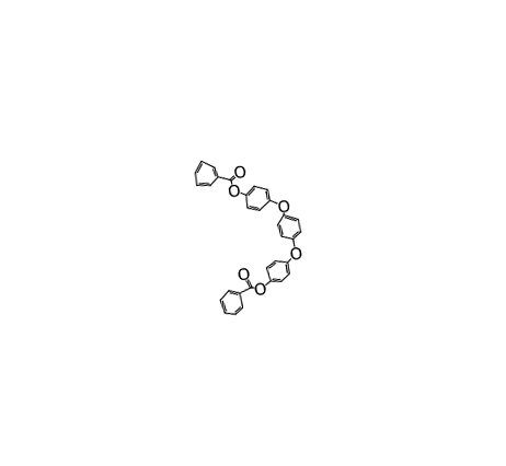 O=C(Oc1ccc(Oc2ccc(Oc3ccc(OC(=O)c4ccccc4)cc3)cc2)cc1)c1ccccc1